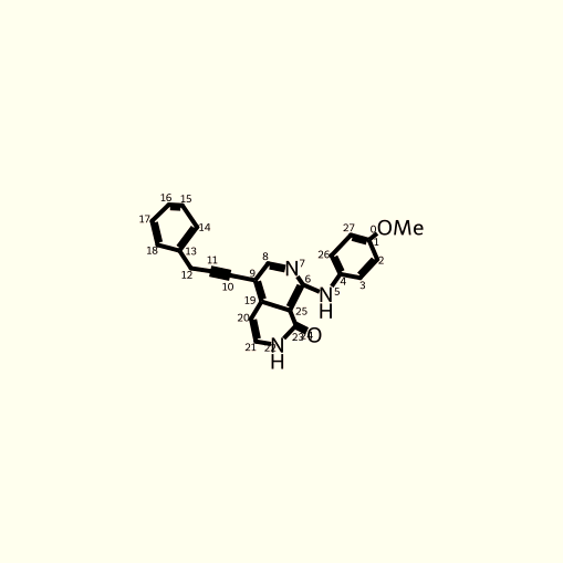 COc1ccc(Nc2ncc(C#CCc3ccccc3)c3cc[nH]c(=O)c23)cc1